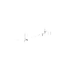 CC(C)NCCCCOCCOCCOCC(=O)C(C)SS